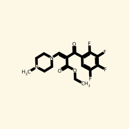 CCOC(=O)C(=CN1CCN(C)CC1)C(=O)c1cc(F)c(F)c(F)c1F